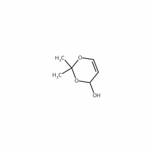 CC1(C)OC=CC(O)O1